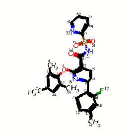 Cc1cc(C)c(Oc2nc(-c3ccc(C)cc3F)ccc2C(=O)NS(=O)(=O)c2ccccn2)c(C)c1